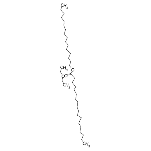 CCCCCCCCCCCCCCCCCC(=O)OCCCCCCCCCCCCCCCC.CCOCC